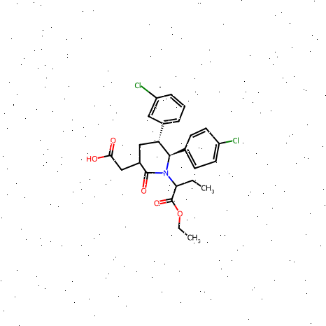 CCOC(=O)C(CC)N1C(=O)C(CC(=O)O)C[C@H](c2cccc(Cl)c2)[C@H]1c1ccc(Cl)cc1